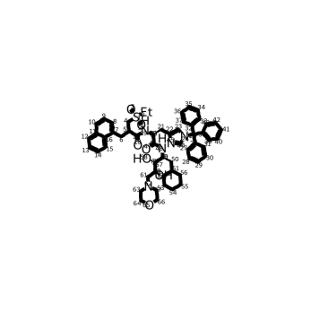 CCS(=O)(=O)CC(Cc1cccc2ccccc12)C(=O)N[C@@H](Cc1cn(C(c2ccccc2)(c2ccccc2)c2ccccc2)cn1)C(=O)N[C@@H](CC1CCCCC1)[C@@H](O)[C@@H](O)CN1CCOCC1